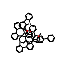 Cc1ccccc1-c1ccccc1C12CCCCC34CC(CC5(CC(C1)c1ccccc1-c1ccccc15)C23)c1ccccc1-c1cccc(N(c2ccc(-c3ccccc3)cc2)c2ccc(-c3cccc5c3oc3ccccc35)cc2)c14